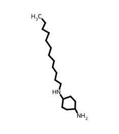 CCCCCCCCCCCCNC1CCC(N)CC1